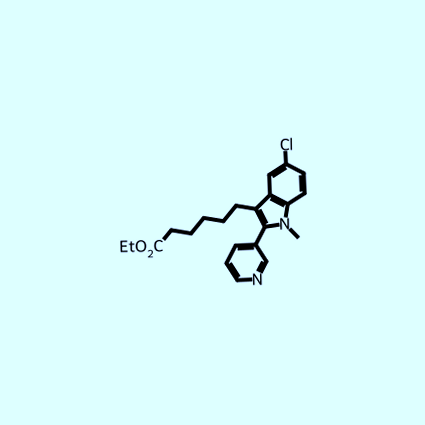 CCOC(=O)CCCCCc1c(-c2cccnc2)n(C)c2ccc(Cl)cc12